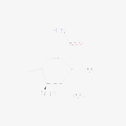 CO[C@@H]1[C@H](OC)[C@@H](NC(C)=O)C(C)O[C@@H]1C(N)=O